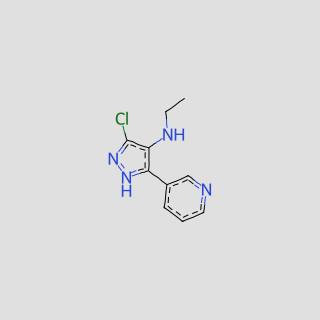 CCNc1c(Cl)n[nH]c1-c1cccnc1